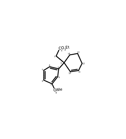 CCOC(=O)CC1(c2cccc(OC)c2)C=CCCC1